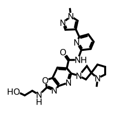 CN1CCCC12CN(c1nc3nc(NCCO)oc3cc1C(=O)Nc1cccc(-c3cnn(C)c3)n1)C2